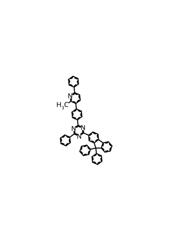 Cc1nc(-c2ccccc2)ccc1-c1ccc(-c2nc(-c3ccccc3)nc(-c3ccc4c(c3)C(c3ccccc3)(c3ccccc3)c3ccccc3-4)n2)cc1